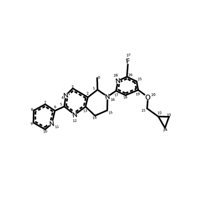 CC1c2cnc(-c3ccccn3)nc2CCN1c1cc(OCC2CC2)cc(F)n1